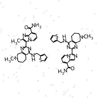 CN1CCCc2c(nc(-c3ncc4c(C(N)=O)cccn34)nc2NCc2cccs2)C1.Cc1nc2c(C(N)=O)cccn2c1-c1nc2c(c(NCc3cccs3)n1)CCCN(C)C2